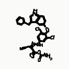 N#CC(=NNc1cc(Cl)c(Oc2ccc3[nH]cc(Cc4ccccc4)c3c2)c(Cl)c1)C(=O)OC(N)=O